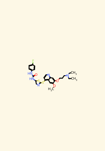 CCN(CC)CCCOc1cc2nccc(SC3=NCC(NC(=O)Nc4ccc(F)cc4)S3)c2cc1OC